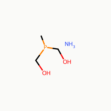 CP(CO)CO.N